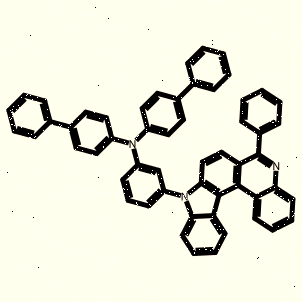 c1ccc(-c2ccc(N(c3ccc(-c4ccccc4)cc3)c3cccc(-n4c5ccccc5c5c6c(ccc54)c(-c4ccccc4)nc4ccccc46)c3)cc2)cc1